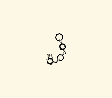 Nc1cc(CN2CCC(Oc3ccc(N4CCCCCC4)cc3)CC2)ccn1